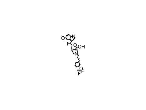 COc1ccc2nccc(C(F)CC[C@@H]3CCN(CCSc4cccc(OC(F)(F)F)c4)C[C@@H]3C(=O)O)c2c1